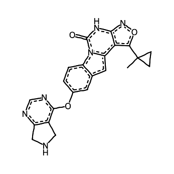 CC1(c2onc3[nH]c(=O)n4c5ccc(Oc6ncnc7c6CNC7)cc5cc4c23)CC1